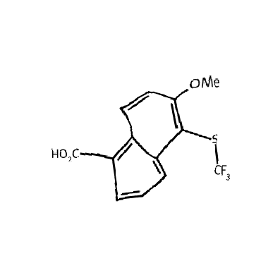 COc1ccc2c(C(=O)O)cccc2c1SC(F)(F)F